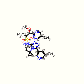 COCC1(n2c(NS(=O)(=O)[C@@H](C)[C@@H](OC(C)C)c3ncc(C)cn3)nnc2-c2cncc(C)c2)CC1